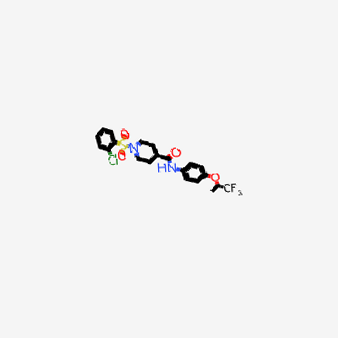 CC(Oc1ccc(NC(=O)C2CCN(S(=O)(=O)c3ccccc3Cl)CC2)cc1)C(F)(F)F